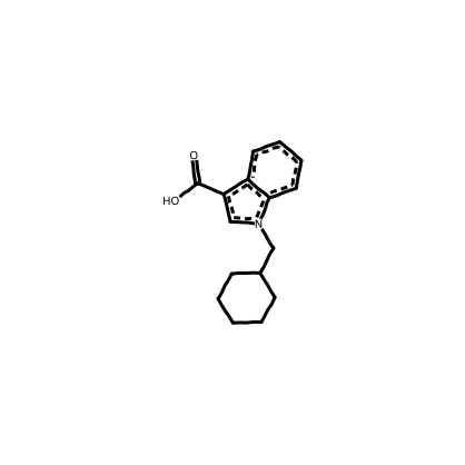 O=C(O)c1cn(CC2CCCCC2)c2ccccc12